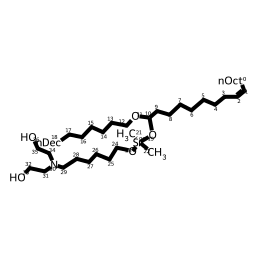 CCCCCCCC/C=C\CCCCCCCC(OCCCCCCCCCCCCCCCC)O[Si](C)(C)OCCCCCCN(CCO)CCO